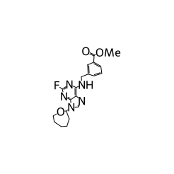 COC(=O)c1cccc(CNc2nc(F)nc3c2ncn3C2CCCCCO2)c1